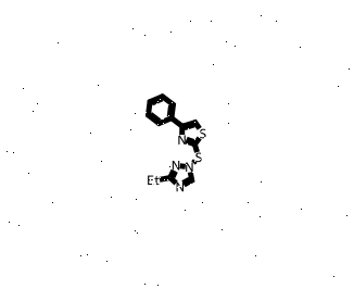 CCc1ncn(Sc2nc(-c3ccccc3)cs2)n1